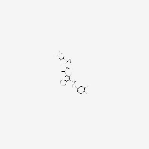 Cc1ccc(NC(=O)c2c(Cl)c(C(=O)C(=O)NC3(c4c[nH]nn4)CC3)n3c2CCC3)cc1F